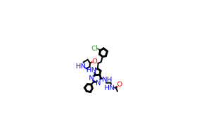 CC(=O)NCCNc1nc(-c2ccccc2)nc2[nH]c(C(Cc3cccc(Cl)c3)OC3CCNCC3)cc12